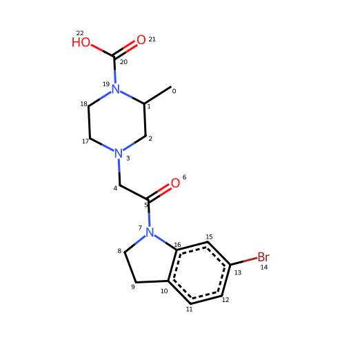 CC1CN(CC(=O)N2CCc3ccc(Br)cc32)CCN1C(=O)O